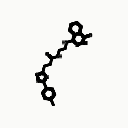 Cc1ccc(-c2noc(CCC(=O)NCCNc3n[nH]c(=O)c4ccccc34)n2)cc1